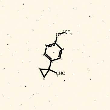 O=CC1(c2ccc(OC(F)(F)F)cc2)CC1